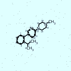 CC(C)c1ccccc1-c1ccc(N2CCN(C)CC2)nc1